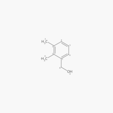 [CH2]c1c(C)cccc1CO